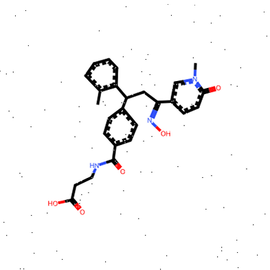 Cc1ccccc1C(CC(=NO)c1ccc(=O)n(C)c1)c1ccc(C(=O)NCCC(=O)O)cc1